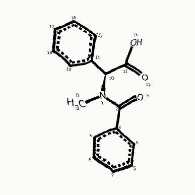 CN(C(=O)c1ccccc1)[C@H](C(=O)O)c1ccccc1